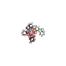 Clc1ccccc1.c1ccc(ON2P(Oc3ccccc3)N=P(Oc3ccccc3)(Oc3ccccc3)N(Oc3ccccc3)P2Oc2ccccc2)cc1